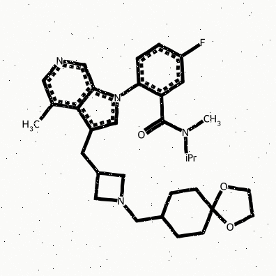 Cc1cncc2c1c(CC1CN(CC3CCC4(CC3)OCCO4)C1)cn2-c1ccc(F)cc1C(=O)N(C)C(C)C